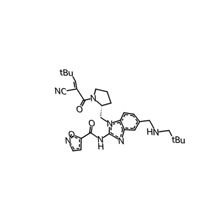 CC(C)(C)/C=C(\C#N)C(=O)N1CCC[C@@H]1Cn1c(NC(=O)c2ccno2)nc2cc(CNCC(C)(C)C)ccc21